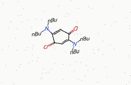 CCCCN(CCCC)C1=CC(=O)C(N(CCCC)CCCC)=CC1=O